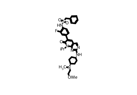 COCCN(C)[C@H]1CC[C@H](Nc2ncc3cc(-c4ccc(NS(=O)(=O)Cc5ccccc5)c(F)c4)c(=O)n(C(C)C)c3n2)CC1